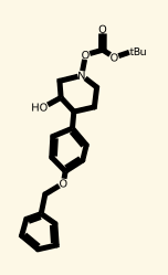 CC(C)(C)OC(=O)ON1CCC(c2ccc(OCc3ccccc3)cc2)C(O)C1